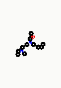 c1ccc(-n2c3cc(-c4ccc(N(c5ccc(-c6ccc7ccc8ccccc8c7c6)cc5)c5ccc6c(c5)oc5ccccc56)cc4)ccc3c3ccc4ccccc4c32)cc1